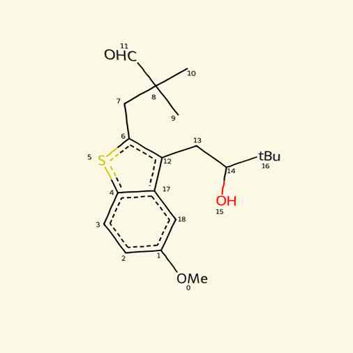 COc1ccc2sc(CC(C)(C)C=O)c(CC(O)C(C)(C)C)c2c1